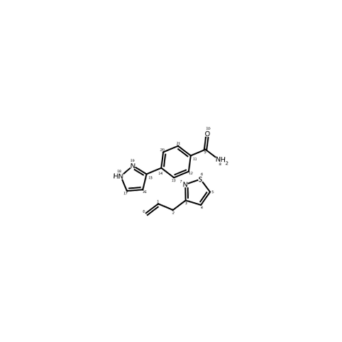 C=CCc1ccsn1.NC(=O)c1ccc(-c2cc[nH]n2)cc1